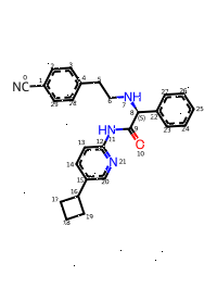 N#Cc1ccc(CCN[C@H](C(=O)Nc2ccc(C3CCC3)cn2)c2ccccc2)cc1